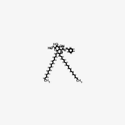 CCCCCCCCCCCCCCCCCC(=O)N(CCCCCCCCCCCCCCCC)[C@@H]1O[C@H](CO)[C@@H](O)[C@H](O)[C@H]1NC(=O)OCc1ccccc1